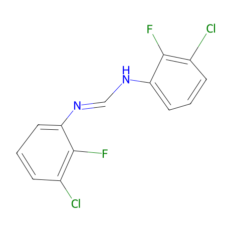 Fc1c(Cl)cccc1N=CNc1cccc(Cl)c1F